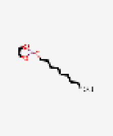 CCCCCCCCCCCCCCCCOP1OCCO1